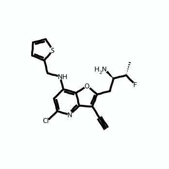 C#Cc1c(C[C@@H](N)[C@H](C)F)oc2c(NCc3cccs3)cc(Cl)nc12